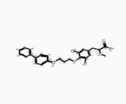 COC(Cc1cc(Cl)c(OCCCOc2ccc(-c3ccccc3)cc2)c(Cl)c1)C(=O)O